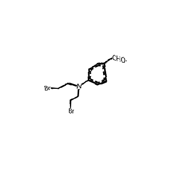 O=[C]c1ccc(N(CCBr)CCBr)cc1